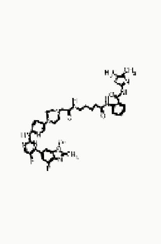 Cc1nc(NC(=O)c2ccccc2NC(=O)CCCCNC(=O)CN2CCN(c3ccc(Nc4ncc(F)c(-c5cc(F)c6nc(C)n(C(C)C)c6c5)n4)nc3)CC2)sc1C